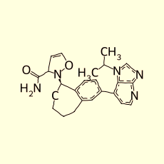 CC(C)n1cnc2nccc(-c3ccc4c(c3)CCCC[C@H]4N3OC=CC3C(N)=O)c21